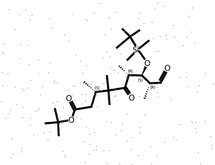 C[C@@H](C=O)[C@H](O[Si](C)(C)C(C)(C)C)[C@@H](C)C(=O)C(C)(C)[C@@H](C)CC(=O)OC(C)(C)C